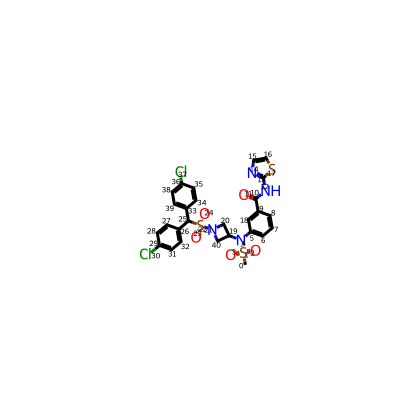 CS(=O)(=O)N(c1cccc(C(=O)Nc2nccs2)c1)C1CN(S(=O)(=O)C(c2ccc(Cl)cc2)c2ccc(Cl)cc2)C1